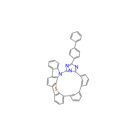 c1ccc(-c2ccc(-c3nc4nc(n3)n3c5ccccc5c5ccc6c7cccc(c8cccc(c8)c8cccc4c8)c7sc6c53)cc2)cc1